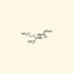 CCCCCC(=O)NNC(CCC(=O)O)C(=O)O